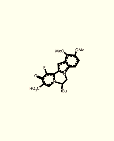 COc1ccc2c(cc3n2CC(C(C)(C)C)n2cc(C(=O)O)c(=O)c(F)c2-3)c1OC